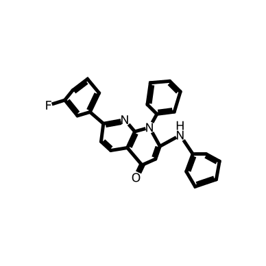 O=c1cc(Nc2ccccc2)n(-c2ccccc2)c2nc(-c3cccc(F)c3)ccc12